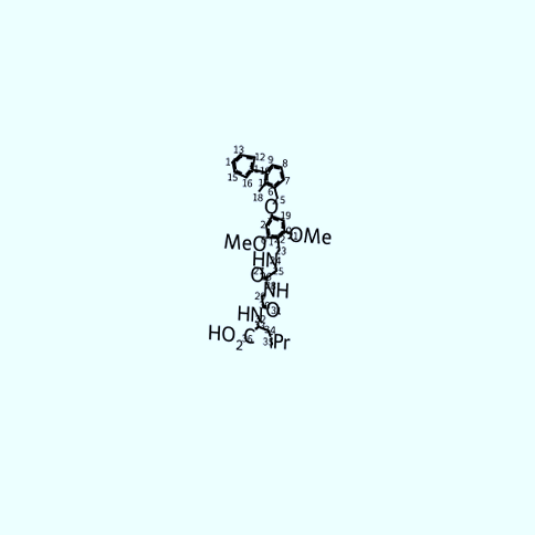 COc1cc(OCc2cccc(-c3ccccc3)c2C)cc(OC)c1CNCC(=O)NCC(=O)NC(CC(C)C)C(=O)O